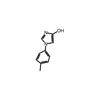 Cc1ccc(-n2cnc(O)c2)cc1